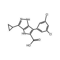 O=C(O)c1[nH]c2c(C3CC3)n[nH]c2c1-c1cc(Cl)cc(Cl)c1